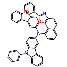 c1ccc(-c2nc3ccc4cccc(N(c5ccc6oc7ccccc7c6c5)c5ccc6c(c5)c5ccccc5n6-c5ccccc5)c4c3o2)cc1